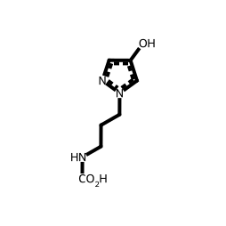 O=C(O)NCCCn1cc(O)cn1